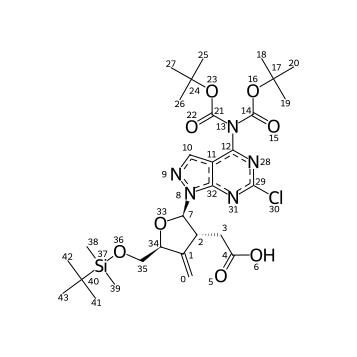 C=C1[C@@H](CC(=O)O)[C@H](n2ncc3c(N(C(=O)OC(C)(C)C)C(=O)OC(C)(C)C)nc(Cl)nc32)O[C@@H]1CO[Si](C)(C)C(C)(C)C